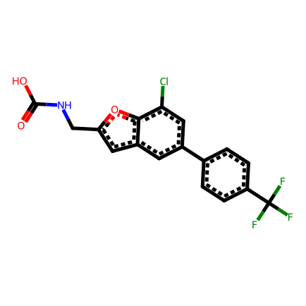 O=C(O)NCc1cc2cc(-c3ccc(C(F)(F)F)cc3)cc(Cl)c2o1